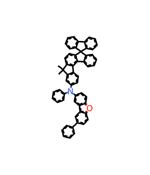 CC1(C)c2cc(N(c3ccccc3)c3ccc4oc5ccc(-c6ccccc6)cc5c4c3)ccc2-c2c1ccc1c2-c2ccccc2C12c1ccccc1-c1ccccc12